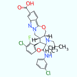 CC(C)CN1[C@H]2COc3c4ccc(C(=O)O)cc4nn3C[C@H]2[C@H](c2cccc(Cl)c2F)[C@]1(C)C(=O)Nc1cccc(Cl)c1